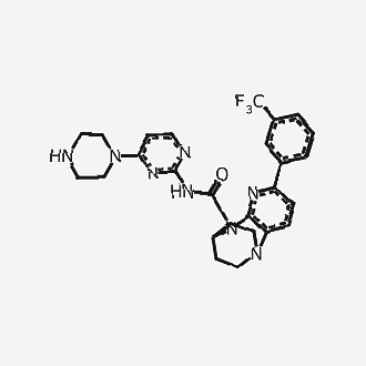 O=C(Nc1nccc(N2CCNCC2)n1)N1c2nc(-c3cccc(C(F)(F)F)c3)ccc2N2CCC1CC2